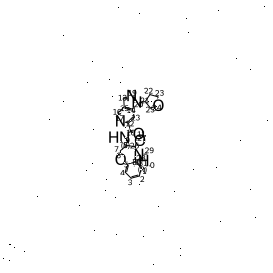 C[C@@H]1C=CC=C2OC[C@H](NC(=O)c3cc4c(cn3)cnn4C3CCOC3)C(=O)N(C)[C@H]21